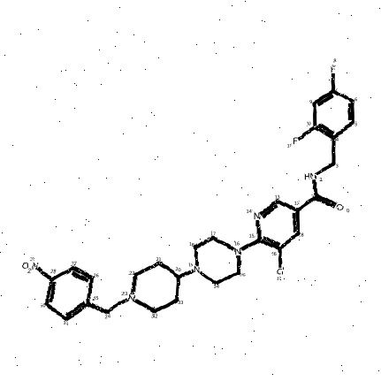 O=C(NCc1ccc(F)cc1F)c1cnc(N2CCN(C3CCN(Cc4ccc([N+](=O)[O-])cc4)CC3)CC2)c(Cl)c1